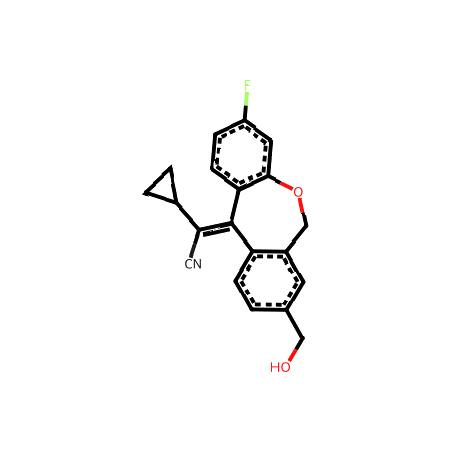 N#C/C(=C1\c2ccc(CO)cc2COc2cc(F)ccc21)C1CC1